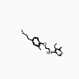 CCCCc1ccc(OCCNc2ncnc(C)c2CC)c(C)c1